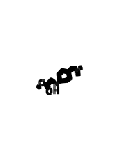 COC(=O)CNC1CCC(CN(C)C)CC1